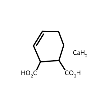 O=C(O)C1C=CCCC1C(=O)O.[CaH2]